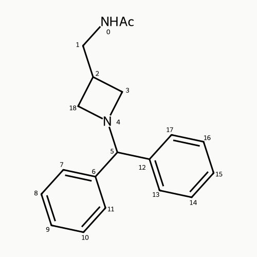 CC(=O)NCC1CN(C(c2ccccc2)c2ccccc2)C1